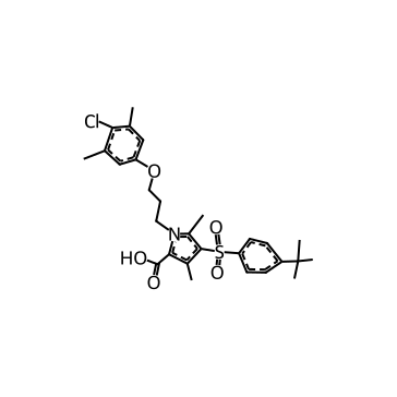 Cc1cc(OCCCn2c(C)c(S(=O)(=O)c3ccc(C(C)(C)C)cc3)c(C)c2C(=O)O)cc(C)c1Cl